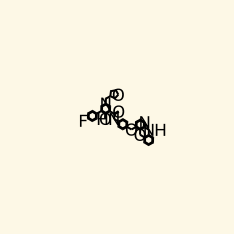 O=C(Nc1ccc(Oc2ccnc3c2Oc2ccccc2N3)cc1)c1cn(CC2CCOC2)cc(-c2ccc(F)cc2)c1=O